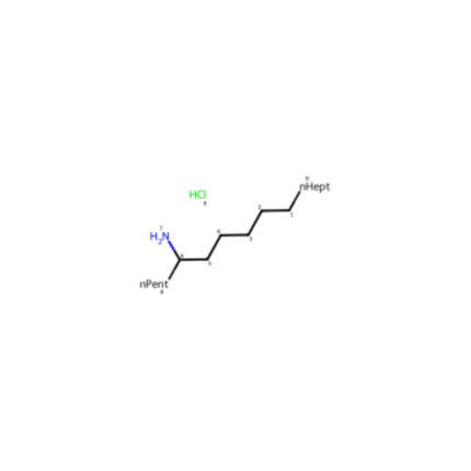 CCCCCCCCCCCCC(N)CCCCC.Cl